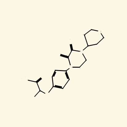 CCCCC(Oc1ccc(N2CCN(C3CCNCC3)C(=O)C2=O)cc1)C(=O)OC(C)=O.Cl